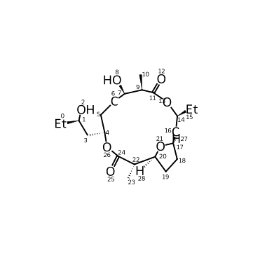 CC[C@@H](O)C[C@@H]1CC[C@@H](O)[C@@H](C)C(=O)O[C@@H](CC)C[C@H]2CC[C@H](O2)[C@H](C)C(=O)O1